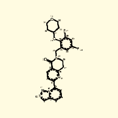 O=C1c2ccc(-c3cccc4cnnn34)nc2CCN1Cc1cc(F)cc(F)c1OC1CCOCC1